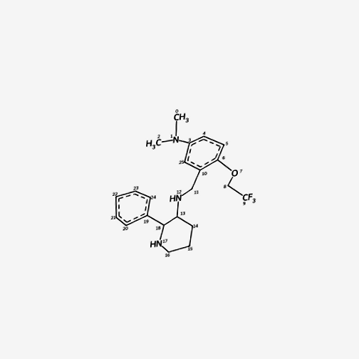 CN(C)c1ccc(OCC(F)(F)F)c(CNC2CCCNC2c2ccccc2)c1